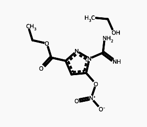 CCO.CCOC(=O)c1cc(O[N+](=O)[O-])n(C(=N)N)n1